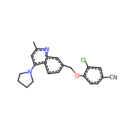 Cc1cc(N2CCCC2)c2ccc(COc3ccc(C#N)cc3Cl)cc2n1